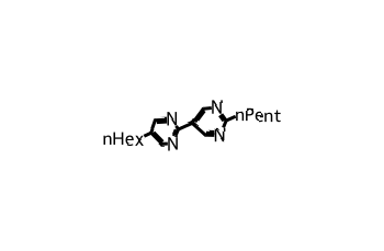 CCCCCCc1cnc(-c2cnc(CCCCC)nc2)nc1